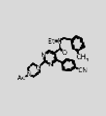 CCN(Cc1cccc(C)c1)C(=O)c1cnc(N2CCN(C(C)=O)CC2)nc1-c1ccc(C#N)cc1